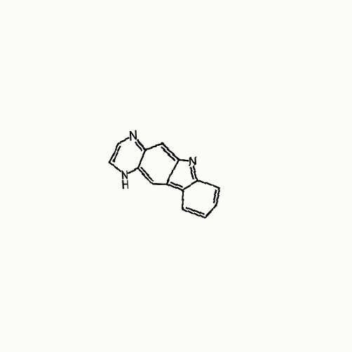 c1ccc2c(c1)nc1cc3ncc[nH]c3cc12